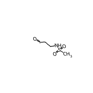 CS(=O)(=O)NCC[C]=O